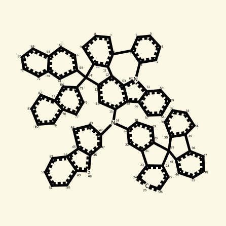 c1ccc2c(c1)-c1cccc3c1-c1c(cc(N(c4ccc5c(c4)-c4ccccc4C54c5ccccc5-c5ccccc54)c4ccc5c(c4)sc4ccccc45)c4c5ccccc5n-2c14)C3(c1ccc2ccccc2c1)c1ccc2ccccc2c1